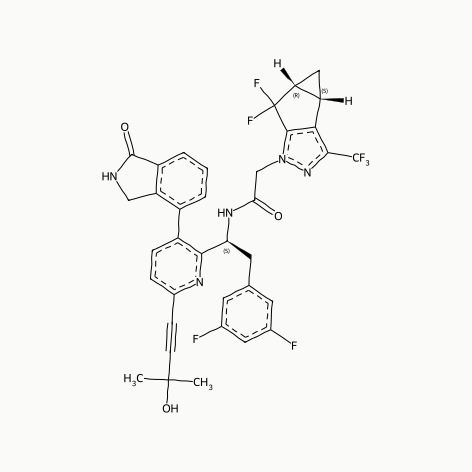 CC(C)(O)C#Cc1ccc(-c2cccc3c2CNC3=O)c([C@H](Cc2cc(F)cc(F)c2)NC(=O)Cn2nc(C(F)(F)F)c3c2C(F)(F)[C@@H]2C[C@H]32)n1